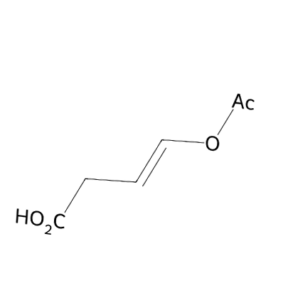 CC(=O)OC=CCC(=O)O